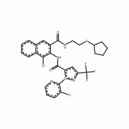 O=C(NCCSC1CCCC1)c1cc2ccccc2c(Cl)c1NC(=O)c1cc(C(F)(F)F)nn1-c1ncccc1Cl